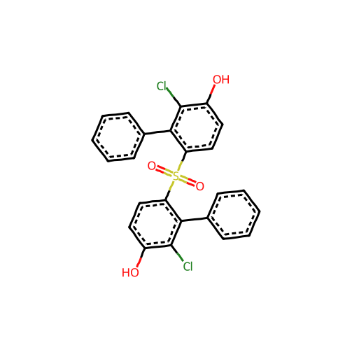 O=S(=O)(c1ccc(O)c(Cl)c1-c1ccccc1)c1ccc(O)c(Cl)c1-c1ccccc1